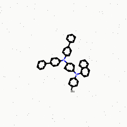 CCC(C)c1ccc(N(c2ccc(N(c3ccc(-c4ccccc4)cc3)c3ccc(-c4ccccc4)cc3)cc2)c2cccc3ccccc23)cc1